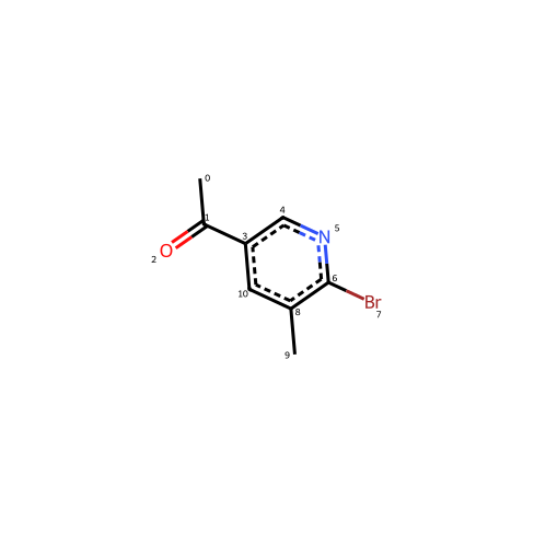 CC(=O)c1cnc(Br)c(C)c1